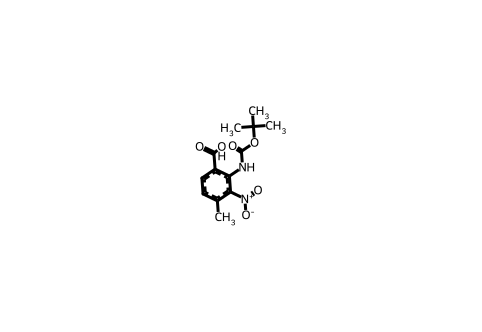 Cc1ccc(C(=O)O)c(NC(=O)OC(C)(C)C)c1[N+](=O)[O-]